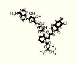 CC(C)(C)OC(=O)N1CCCC(OC(=O)NS(=O)(=O)OCC2O[C@@H](n3cnc4c(N)ncnc43)[C@H](O)[C@@H]2O)C1CC(=O)Cn1cnc2cc(Br)c(Cl)cc2c1=O